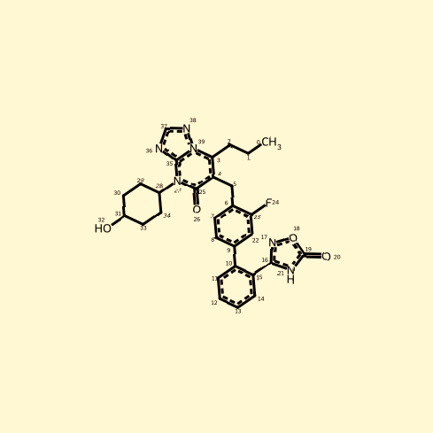 CCCc1c(Cc2ccc(-c3ccccc3-c3noc(=O)[nH]3)cc2F)c(=O)n(C2CCC(O)CC2)c2ncnn12